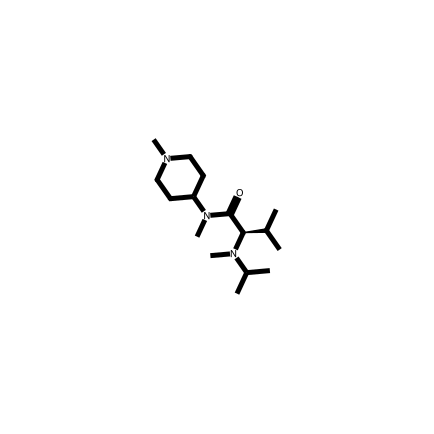 CC(C)[C@H](C(=O)N(C)C1CCN(C)CC1)N(C)C(C)C